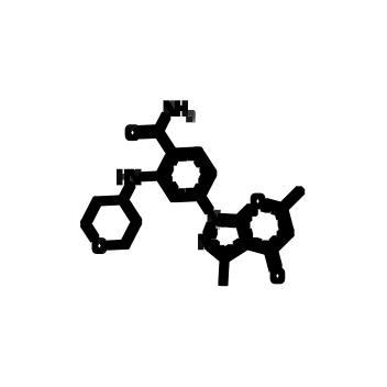 Cc1cc(=O)c2c(C)nn(-c3ccc(C(N)=O)c(NC4CCOCC4)c3)c2o1